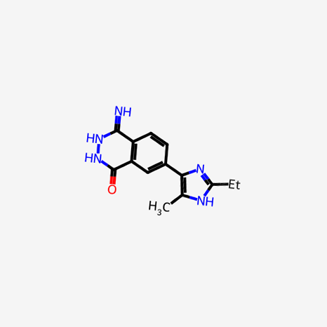 CCc1nc(-c2ccc3c(=N)[nH][nH]c(=O)c3c2)c(C)[nH]1